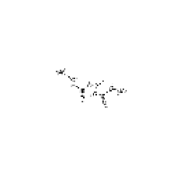 CC(C)OCC(=O)OC(C)OC(=O)OC(C)(C)C